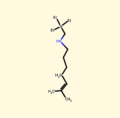 CC[Si](CC)(CC)CNCCC[SiH2]C=C(C)C